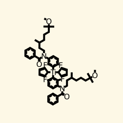 COC(C)(C)CCCC(C)CCN(C(=O)c1ccccc1)c1ccc(F)[c]([Ti]([c]2c(F)ccc(N(CCC(C)CCCC(C)(C)OC)C(=O)c3ccccc3)c2F)([CH]2C=CC=C2)[CH]2C=CC=C2)c1F